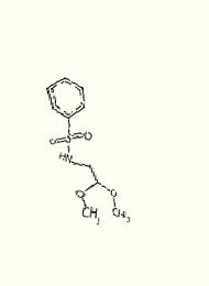 COC(CNS(=O)(=O)c1ccccc1)OC